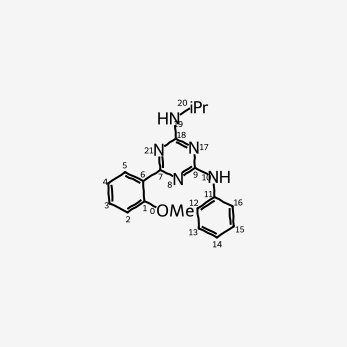 COc1ccccc1-c1nc(Nc2ccccc2)nc(NC(C)C)n1